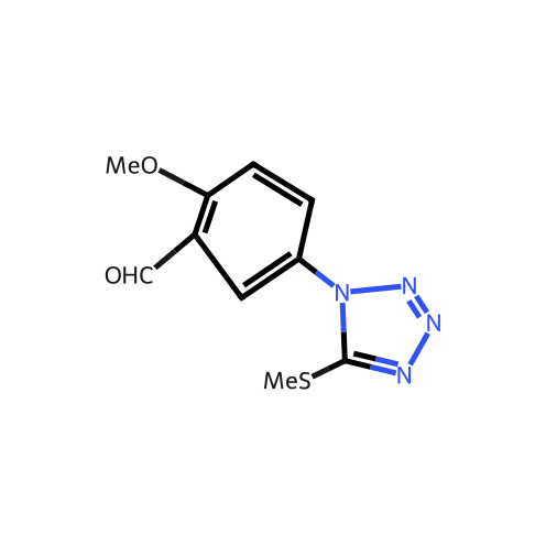 COc1ccc(-n2nnnc2SC)cc1C=O